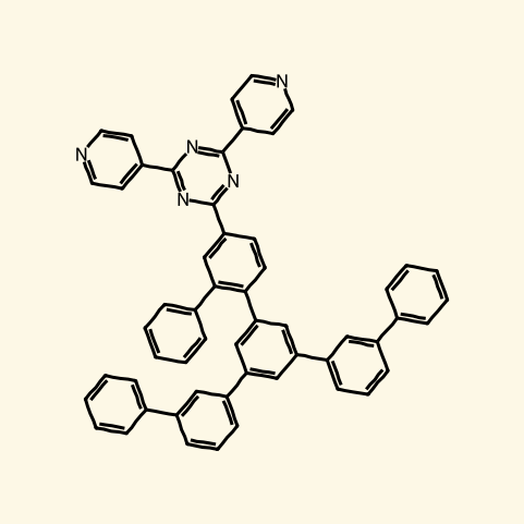 c1ccc(-c2cccc(-c3cc(-c4cccc(-c5ccccc5)c4)cc(-c4ccc(-c5nc(-c6ccncc6)nc(-c6ccncc6)n5)cc4-c4ccccc4)c3)c2)cc1